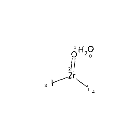 O.[O]=[Zr]([I])[I]